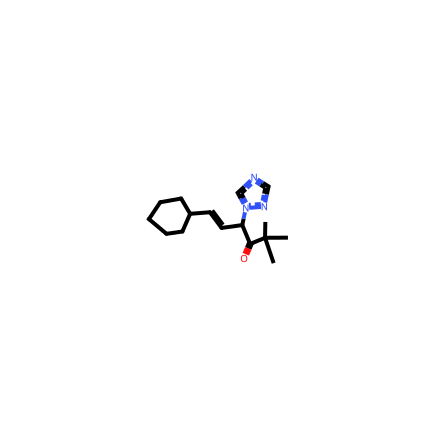 CC(C)(C)C(=O)C(C=CC1CCCCC1)n1cncn1